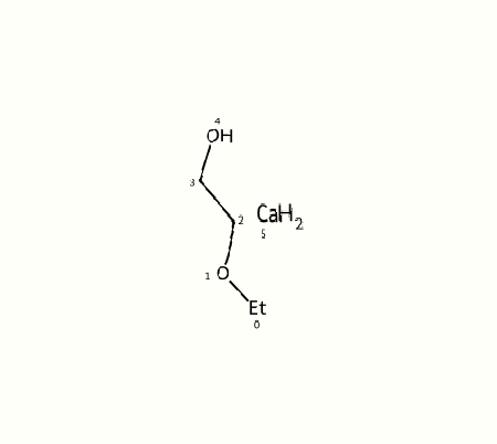 CCOCCO.[CaH2]